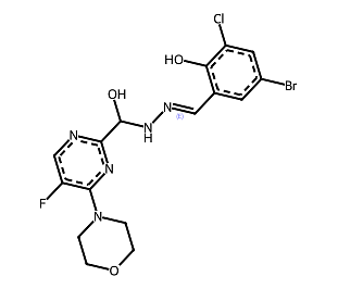 Oc1c(Cl)cc(Br)cc1/C=N/NC(O)c1ncc(F)c(N2CCOCC2)n1